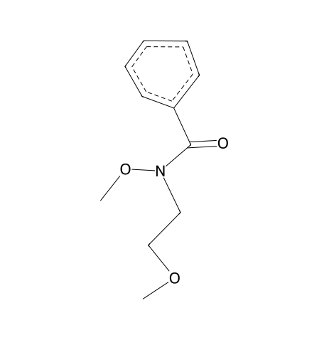 COCCN(OC)C(=O)c1ccccc1